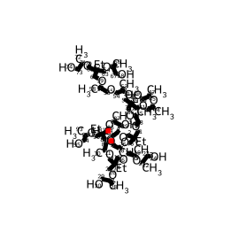 CCC(COCC(C)OCC(C)OCC(CC)(COCC(C)OC(C)CO)COC(C)CO)(COCC(C)OCC(CC)(COCC(C)OC(C)CO)COC(C)COCC(C)OCC(CC)(COC(C)CO)COC(C)CO)COC(C)COCC(CC)(COC(C)CO)COC(C)CO